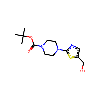 CC(C)(C)OC(=O)N1CCN(c2ncc(CO)s2)CC1